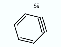 [Si].c1ccccc#1